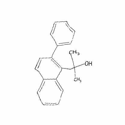 CC(C)(O)c1c(-c2ccccc2)ccc2ccccc12